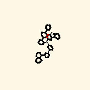 c1ccc(-c2ccc(-c3ccccc3N(c3cccc(-c4cccc(-c5cccc6ccccc56)c4)c3)c3ccc4oc5ccccc5c4c3)cc2)cc1